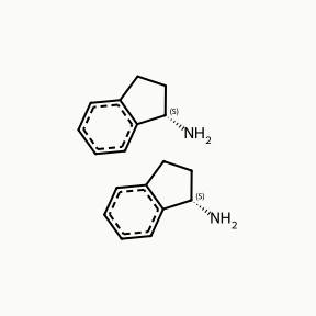 N[C@H]1CCc2ccccc21.N[C@H]1CCc2ccccc21